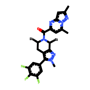 CCC1Cc2c(nn(C)c2-c2cc(F)c(F)c(F)c2)C(CC)N1C(=O)c1cc(C)n2nc(C)cc2n1